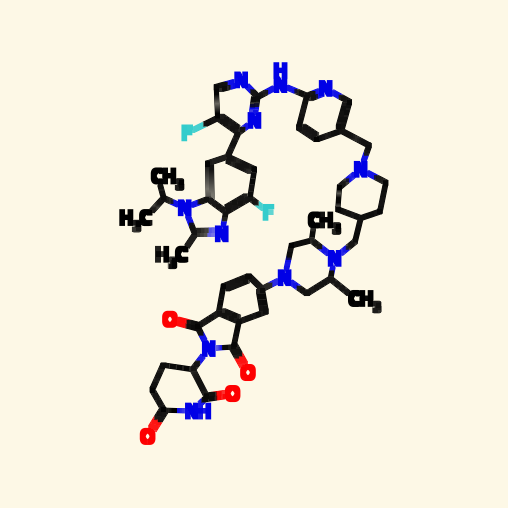 Cc1nc2c(F)cc(-c3nc(Nc4ccc(CN5CCC(CN6C(C)CN(c7ccc8c(c7)C(=O)N(C7CCC(=O)NC7=O)C8=O)CC6C)CC5)cn4)ncc3F)cc2n1C(C)C